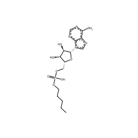 CCCCCOP(=O)(O)OC[C@H]1O[C@@H](n2cnc3c(N)ncnc32)[C@H](O)[C@@H]1O